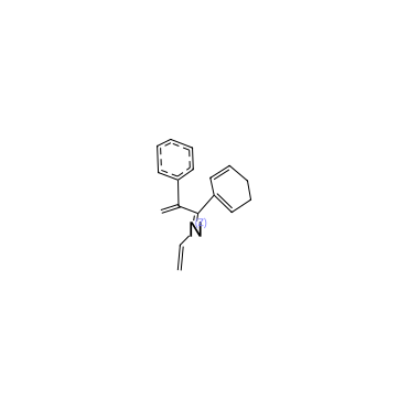 C=C/N=C(\C(=C)c1ccccc1)C1=CCCC=C1